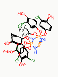 Oc1ccc(OP2(Oc3ccc(O)c(Cl)c3)(OC(C(F)(F)F)C(F)(F)F)N=PNP(Oc3ccc(O)c(Cl)c3)(Oc3ccc(O)c(Cl)c3)(Oc3ccc(O)c(Cl)c3)N2)cc1Cl